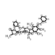 C=C1SC(=O)N(c2ccccc2OCC(CC2c3c(C)c(OCc4ccccc4)c(C)c(C)c3OC2(C)C)NC)C1=O